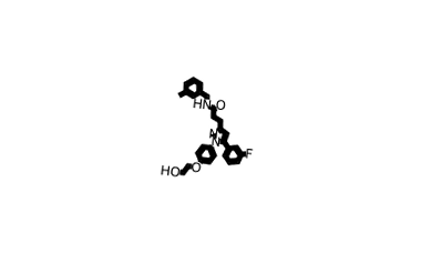 Cc1cccc(CNC(=O)CCc2cc(-c3cccc(F)c3)n(-c3ccc(OCCO)cc3)n2)c1